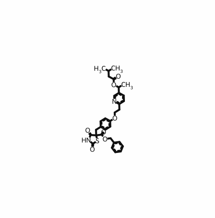 CC(C)CC(=O)OC(C)c1ccc(CCOc2ccc(CC3(C(=O)OCc4ccccc4)SC(=O)NC3=O)cc2)nc1